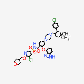 CC1(C)CCC(CN2CCN(c3ccc(C(=O)NS(=O)(=O)c4cnc(OCC5CCOCC5)c(Cl)c4)c(Oc4cccc5[nH]cnc45)c3)CC2)=C(c2ccc(Cl)cc2)C1